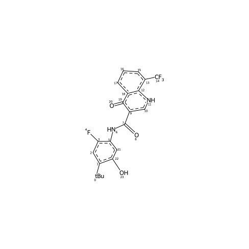 CC(C)(C)c1cc(F)c(NC(=O)c2c[nH]c3c(C(F)(F)F)cccc3c2=O)cc1O